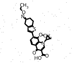 CCON=C1CCc2sc(-c3ccc4c(=O)c(C(=O)O)cn(C5CC5)c4c3OC)cc2C1